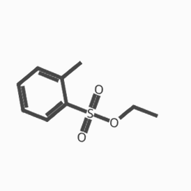 CCOS(=O)(=O)c1ccccc1C